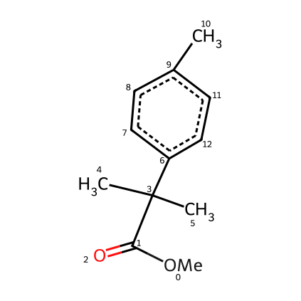 COC(=O)C(C)(C)c1ccc(C)cc1